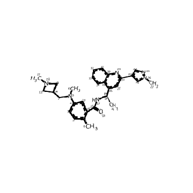 Cc1ccc(N(C)CC2CN(C)C2)cc1C(=O)N[C@H](C)c1cc(-c2cnn(C)c2)nc2ccccc12